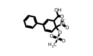 CS(=O)(=O)OC1([N+](=O)[O-])C=CC(c2ccccc2)=CC1C(=O)O